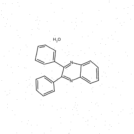 O.c1ccc(-c2nc3ccccc3nc2-c2ccccc2)cc1